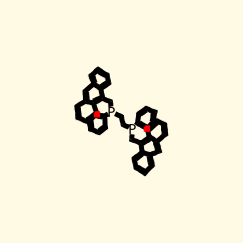 c1ccc(P(CCP(Cc2c3ccccc3cc3ccccc23)c2ccccc2)Cc2c3ccccc3cc3ccccc23)cc1